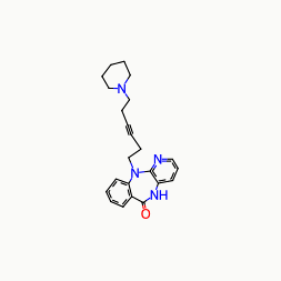 O=C1Nc2cccnc2N(CCC#CCCN2CCCCC2)c2ccccc21